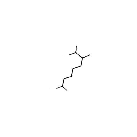 CC(CCCCC(C(=O)O)C(=O)O)C(C(=O)O)C(=O)O